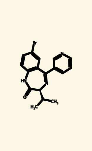 CC(C)[C@@H]1N=C(c2cccnc2)c2cc(Br)ccc2NC1=O